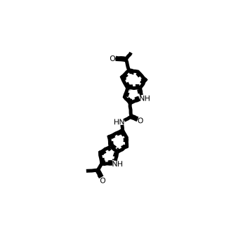 CC(=O)c1ccc2[nH]c(C(=O)Nc3ccc4[nH]c(C(C)=O)cc4c3)cc2c1